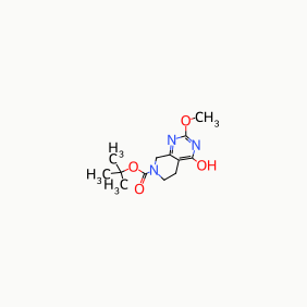 COc1nc(O)c2c(n1)CN(C(=O)OC(C)(C)C)CC2